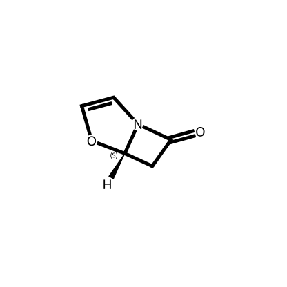 O=C1C[C@@H]2OC=CN12